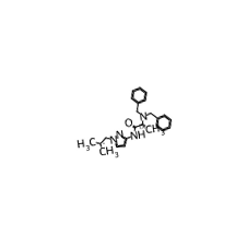 C[C](C)Cn1ccc(NC(=O)[C@H](C)N(Cc2ccccc2)Cc2ccccc2)n1